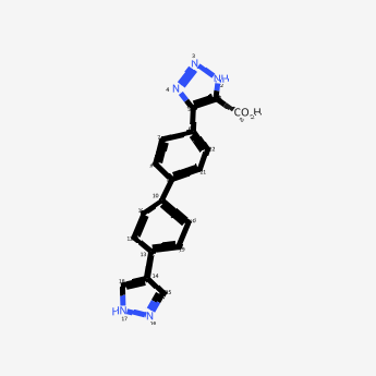 O=C(O)c1[nH]nnc1-c1ccc(-c2ccc(-c3cn[nH]c3)cc2)cc1